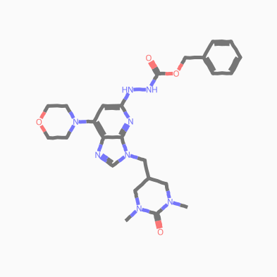 CN1CC(Cn2cnc3c(N4CCOCC4)cc(NNC(=O)OCc4ccccc4)nc32)CN(C)C1=O